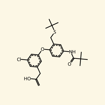 C=C(O)Cc1cc(Cl)cc(Oc2ccc(NC(=O)C(C)(C)C)cc2CSC(C)(C)C)c1